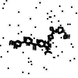 CC(C)n1nc(N2CC(C(=O)N3CC[C@H](CO)C3)C2)c2cnc(Nc3ccnc(-c4cn[nH]c4)n3)cc21